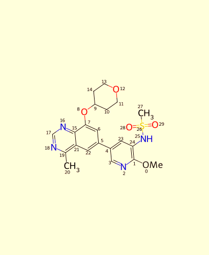 COc1ncc(-c2cc(OC3CCOCC3)c3ncnc(C)c3c2)cc1NS(C)(=O)=O